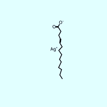 CCCCCCCCCC=CCCC(=O)[O-].[Ag+]